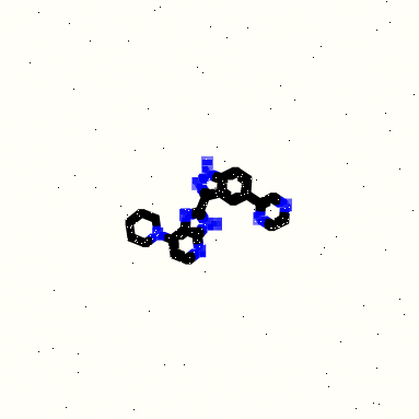 c1cnc(-c2ccc3[nH]nc(-c4nc5c(N6CCCCC6)ccnc5[nH]4)c3c2)cn1